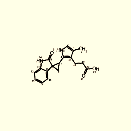 Cc1c[nH]c(C2CC23C(=O)Nc2ccccc23)c1CCC(=O)O